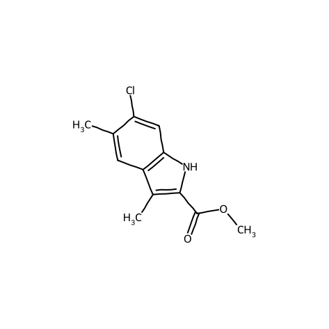 COC(=O)c1[nH]c2cc(Cl)c(C)cc2c1C